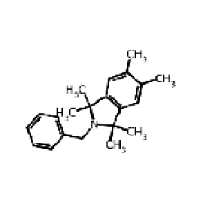 Cc1cc2c(cc1C)C(C)(C)N(Cc1ccccc1)C2(C)C